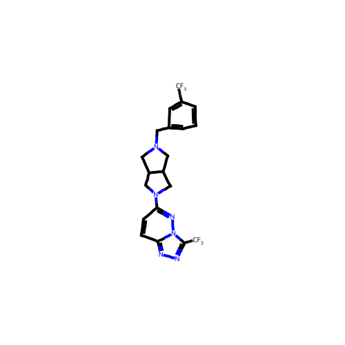 FC(F)(F)c1cccc(CN2CC3CN(c4ccc5nnc(C(F)(F)F)n5n4)CC3C2)c1